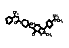 C[C@H](N)c1ccc(-c2c3ncn(CC4(O)CCN(C(=O)CC(c5ccccc5)C(F)(F)F)CC4)c(=O)c3nn2C)cc1